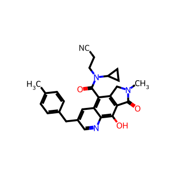 Cc1ccc(Cc2cnc3c(O)c4c(c(C(=O)N(CCC#N)C5CC5)c3c2)CN(C)C4=O)cc1